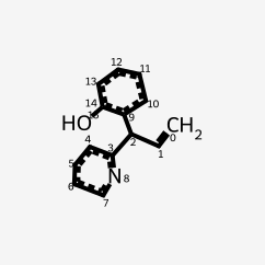 C=CC(c1ccccn1)c1ccccc1O